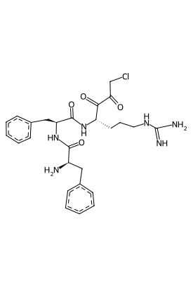 N=C(N)NCCC[C@H](NC(=O)[C@H](Cc1ccccc1)NC(=O)[C@H](N)Cc1ccccc1)C(=O)C(=O)CCl